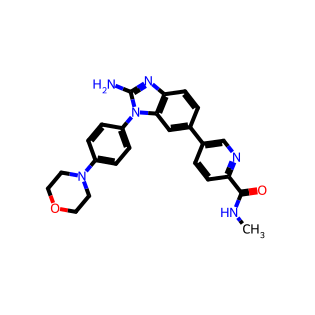 CNC(=O)c1ccc(-c2ccc3nc(N)n(-c4ccc(N5CCOCC5)cc4)c3c2)cn1